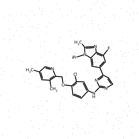 Cc1cnc(COc2ccc(Nc3nccc(-c4cc(F)c5nc(C)n(C(C)C)c5c4)n3)cc2Cl)c(C)c1